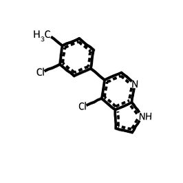 Cc1ccc(-c2cnc3[nH]ccc3c2Cl)cc1Cl